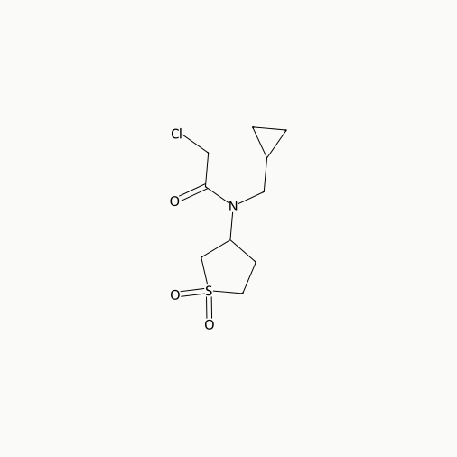 O=C(CCl)N(CC1CC1)C1CCS(=O)(=O)C1